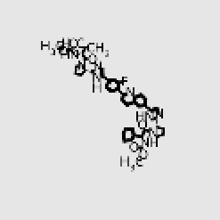 COC(=O)N[C@H](C(=O)N1CCC[C@H]1c1ncc(-c2ccc(-c3ccc4cc(-c5cnc([C@@H]6CCCN6C(=O)[C@H](NC(=O)OC)c6ccccc6)[nH]5)ccc4n3)c(F)c2)[nH]1)C(C)C